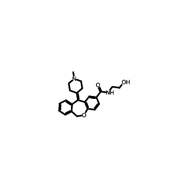 CN1CCC(=C2c3ccccc3COc3ccc(C(=O)NCCO)cc32)CC1